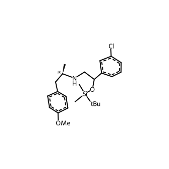 COc1ccc(C[C@@H](C)NCC(O[Si](C)(C)C(C)(C)C)c2cccc(Cl)c2)cc1